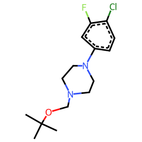 CC(C)(C)OCN1CCN(c2ccc(Cl)c(F)c2)CC1